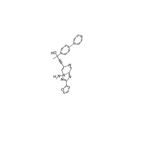 CC(O)(C#CC1=C[N+]2(N)N=C(c3ccco3)N=C2C=N1)c1ccc(-c2ccccc2)cc1